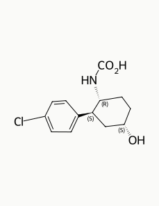 O=C(O)N[C@@H]1CC[C@H](O)C[C@H]1c1ccc(Cl)cc1